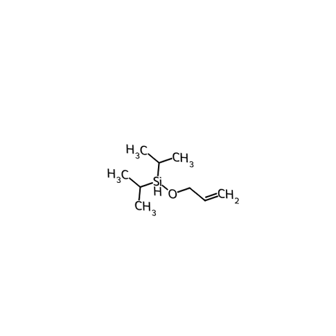 C=CCO[SiH](C(C)C)C(C)C